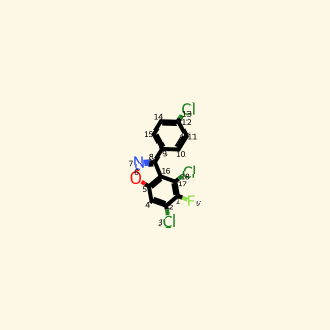 Fc1c(Cl)cc2onc(-c3ccc(Cl)cc3)c2c1Cl